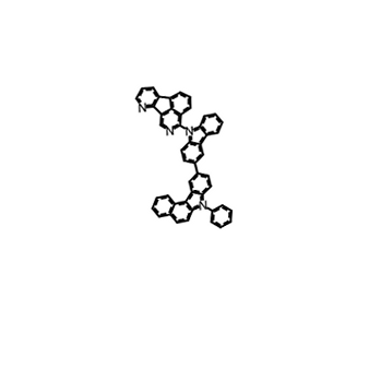 c1ccc(-n2c3ccc(-c4ccc5c(c4)c4ccccc4n5-c4ncc5c6c(cccc46)-c4cccnc4-5)cc3c3c4ccccc4ccc32)cc1